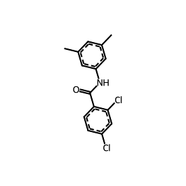 Cc1cc(C)cc(NC(=O)c2ccc(Cl)cc2Cl)c1